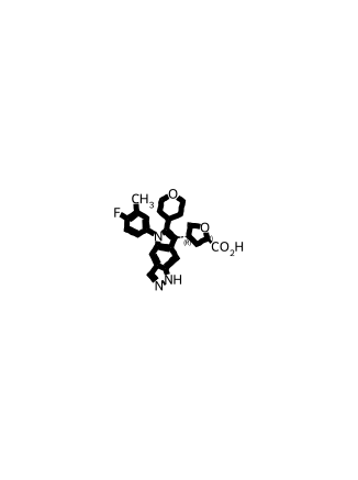 Cc1cc(-n2c(C3CCOCC3)c([C@@H]3CO[C@@H](C(=O)O)C3)c3cc4[nH]ncc4cc32)ccc1F